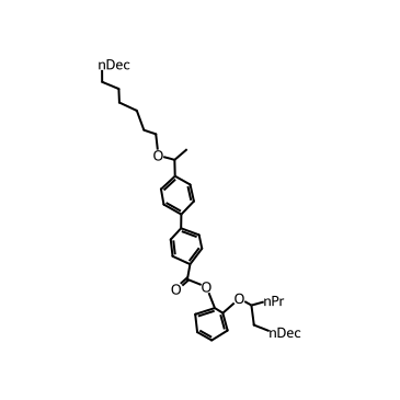 CCCCCCCCCCCCCCCCOC(C)c1ccc(-c2ccc(C(=O)Oc3ccccc3OC(CCC)CCCCCCCCCCC)cc2)cc1